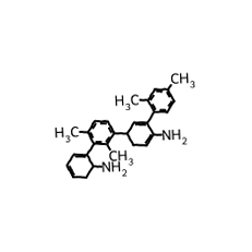 Cc1ccc(C2=CC(c3ccc(C)c(C4=CC=CCC4N)c3C)CC=C2N)c(C)c1